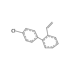 C=Cc1ccccc1-c1ccc(Cl)cc1